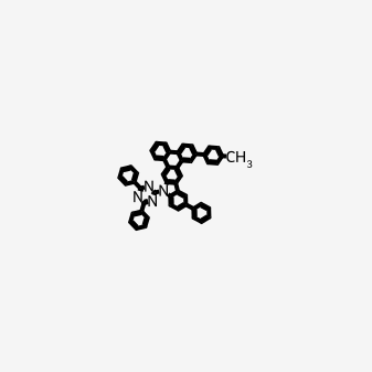 Cc1ccc(-c2ccc3c4ccccc4c4cc5c(cc4c3c2)c2cc(-c3ccccc3)ccc2n5-c2nc(-c3ccccc3)nc(-c3ccccc3)n2)cc1